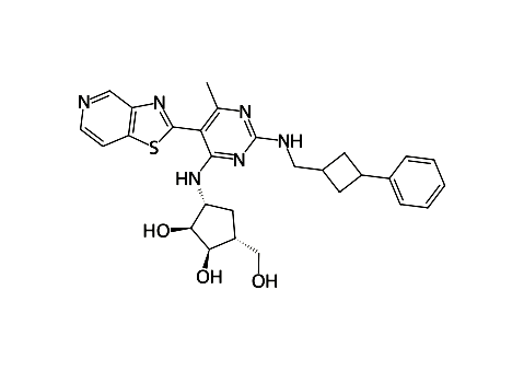 Cc1nc(NCC2CC(c3ccccc3)C2)nc(N[C@@H]2C[C@H](CO)[C@@H](O)[C@H]2O)c1-c1nc2cnccc2s1